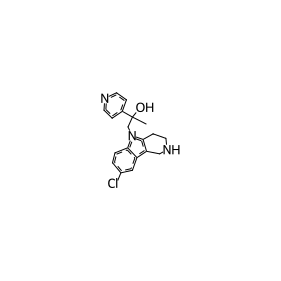 CC(O)(Cn1c2c(c3cc(Cl)ccc31)CNCC2)c1ccncc1